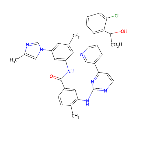 Cc1cn(-c2cc(NC(=O)c3ccc(C)c(Nc4nccc(-c5cccnc5)n4)c3)cc(C(F)(F)F)c2)cn1.O=C(O)C(O)c1ccccc1Cl